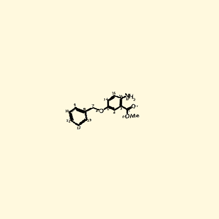 COC(=O)c1cc(OCc2ccccc2)ccc1N